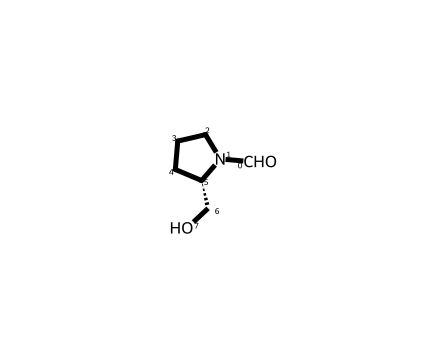 O=CN1CCC[C@H]1CO